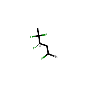 [CH2]CC(F)C[C@H](F)C(C)(F)F